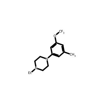 CCN1CCN(c2cc(C)cc(OC(F)(F)F)c2)CC1